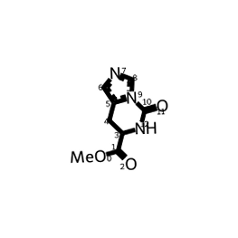 COC(=O)C1Cc2cncn2C(=O)N1